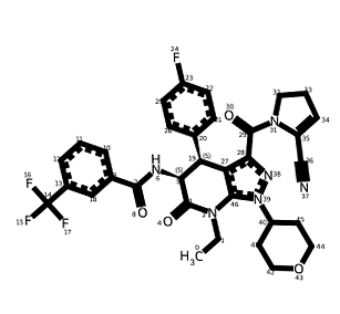 CCN1C(=O)[C@@H](NC(=O)c2cccc(C(F)(F)F)c2)[C@@H](c2ccc(F)cc2)c2c(C(=O)N3CCC=C3C#N)nn(C3CCOCC3)c21